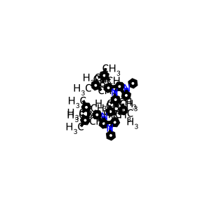 Cc1cc(C)c(B(c2ccc3c(c2)c2ccc4c(c5ccccc5n4-c4ccccc4)c2n3-c2cc(C)c(B(c3c(C)cc(C)cc3C)c3c(C)cc(-n4c5ccc(B(c6c(C)cc(C)cc6C)c6c(C)cc(C)cc6C)cc5c5ccc6c(c7ccccc7n6-c6ccccc6)c54)cc3C)c(C)c2)c2c(C)cc(C)cc2C)c(C)c1